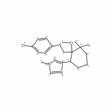 COC1(CCc2ccc(Cl)cc2)C(c2ncn(C)n2)CCCC1(C)C